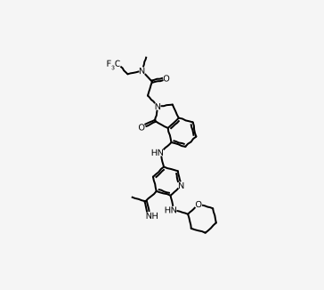 CC(=N)c1cc(Nc2cccc3c2C(=O)N(CC(=O)N(C)CC(F)(F)F)C3)cnc1NC1CCCCO1